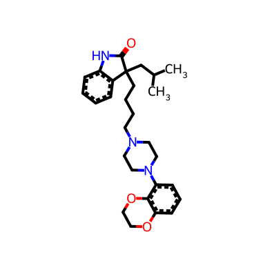 CC(C)CC1(CCCCN2CCN(c3cccc4c3OCCO4)CC2)C(=O)Nc2ccccc21